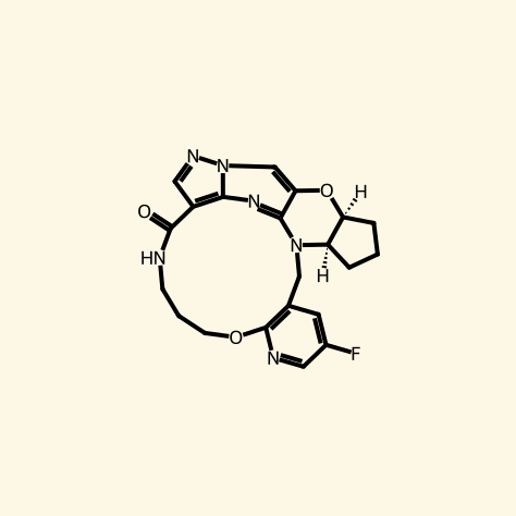 O=C1NCCCOc2ncc(F)cc2CN2c3nc4c1cnn4cc3O[C@H]1CCC[C@H]12